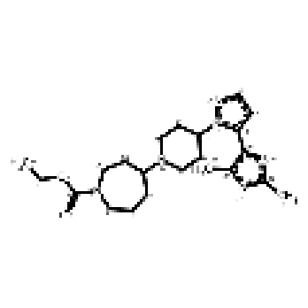 CCOC(=O)N1CCCC(N2CCC(n3nccc3-c3sc(C)nc3C)CC2)CC1